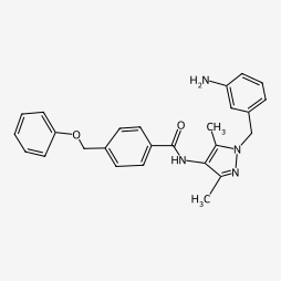 Cc1nn(Cc2cccc(N)c2)c(C)c1NC(=O)c1ccc(COc2ccccc2)cc1